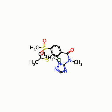 CC(C)Sc1c(S(C)(=O)=O)ccc(C(=O)N(C)c2ncnn2C)c1Cl